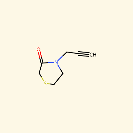 C#CCN1CCSCC1=O